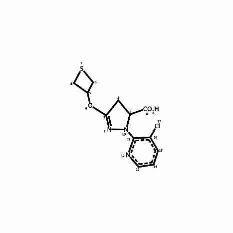 O=C(O)C1CC(OC2CSC2)=NN1c1ncccc1Cl